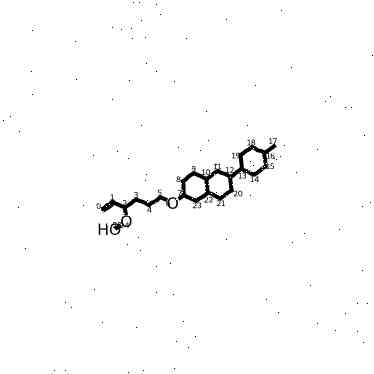 C=CC(CCCOC1CCC2CC(C3CCC(C)CC3)CCC2C1)OO